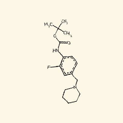 CC(C)(C)OC(=O)Nc1ccc(CN2CCCCC2)cc1F